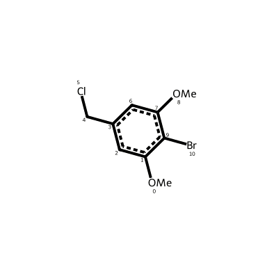 COc1cc(CCl)cc(OC)c1Br